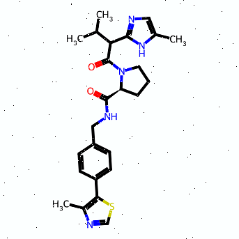 Cc1cnc(C(C(=O)N2CCC[C@H]2C(=O)NCc2ccc(-c3scnc3C)cc2)C(C)C)[nH]1